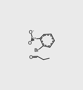 CCC=O.O=[N+]([O-])c1ccccc1Br